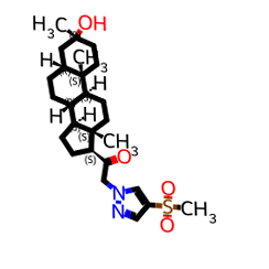 C[C@@]1(O)CC[C@@]2(C)[C@H](CC[C@@H]3[C@@H]2CC[C@]2(C)[C@@H](C(=O)Cn4cc(S(C)(=O)=O)cn4)CC[C@@H]32)C1